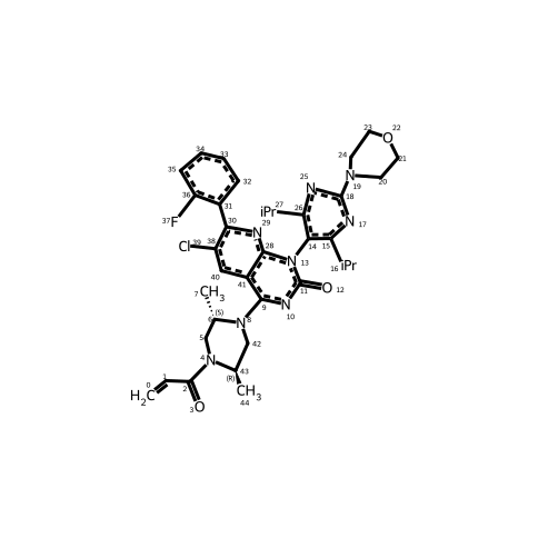 C=CC(=O)N1C[C@H](C)N(c2nc(=O)n(-c3c(C(C)C)nc(N4CCOCC4)nc3C(C)C)c3nc(-c4ccccc4F)c(Cl)cc23)C[C@H]1C